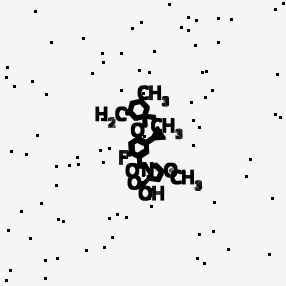 C=C1CC(C)CC(CC)(COc2cc(F)c(C(=O)N3C[C@H](OC)C[C@H]3C(=O)O)cc2C2CC2)C1